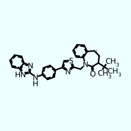 CC(C)(C)C1C[C]c2ccccc2N(Cc2nc(-c3ccc(Nc4nc5ccccc5[nH]4)cc3)cs2)C1=O